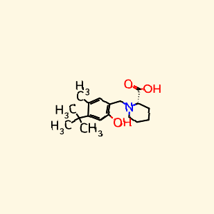 Cc1cc(CN2CCCC[C@H]2C(=O)O)c(O)cc1C(C)(C)C